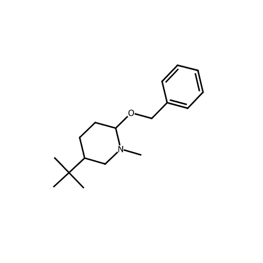 CN1CC(C(C)(C)C)CCC1OCc1ccccc1